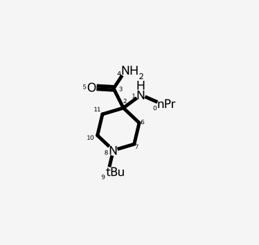 CCCNC1(C(N)=O)CCN(C(C)(C)C)CC1